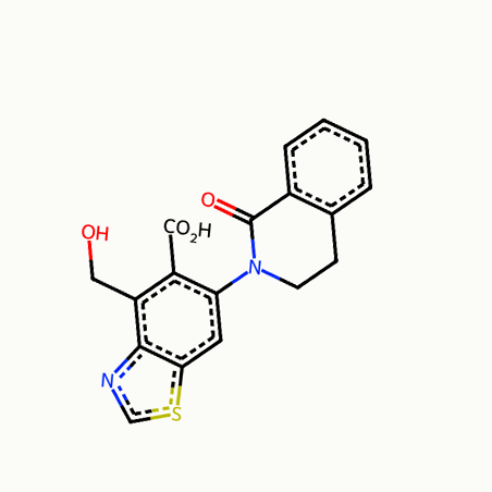 O=C(O)c1c(N2CCc3ccccc3C2=O)cc2scnc2c1CO